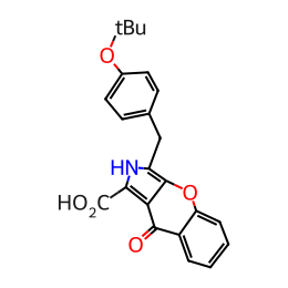 CC(C)(C)Oc1ccc(Cc2[nH]c(C(=O)O)c3c(=O)c4ccccc4oc23)cc1